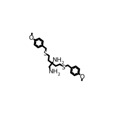 COc1ccc(CSCCC(N)(CN)CCSCc2ccc(OC)cc2)cc1